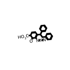 [N-]=[N+]=NC1=C(C(Cc2ccccc2)c2ccccc2)C=CC(C(=O)O)C1=O